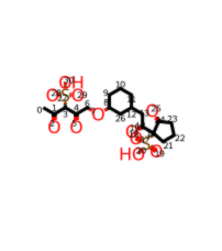 CC(=O)C(C(=O)COC1CCCC(CC(=O)C2(S(=O)(=O)O)CCCC2=O)C1)S(=O)(=O)O